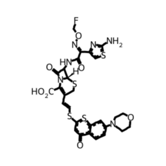 Nc1nc(C(=NOCF)C(=O)NC2C(=O)N3C(C(=O)O)=C(C=CSc4cc(=O)c5ccc(N6CCOCC6)cc5s4)CS[C@@H]23)cs1